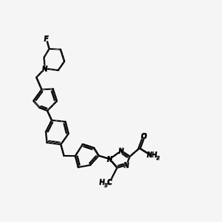 Cc1nc(C(N)=O)nn1-c1ccc(Cc2ccc(-c3ccc(CN4CCCC(F)C4)cc3)cc2)cc1